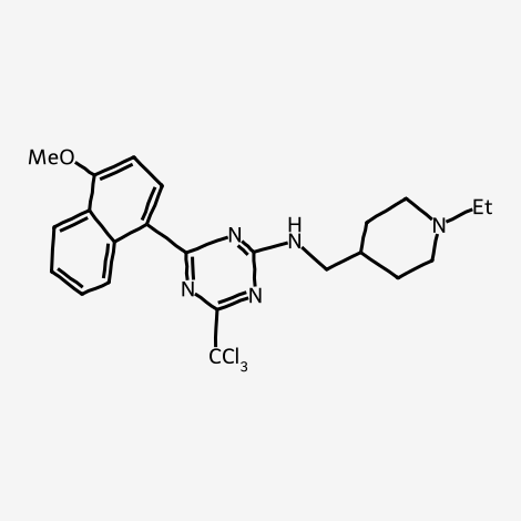 CCN1CCC(CNc2nc(-c3ccc(OC)c4ccccc34)nc(C(Cl)(Cl)Cl)n2)CC1